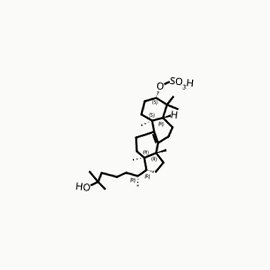 C[C@H](CCCC(C)(C)O)[C@H]1CC[C@@]2(C)C3=C(CC[C@]12C)[C@@]1(C)CC[C@H](OS(=O)(=O)O)C(C)(C)[C@@H]1CC3